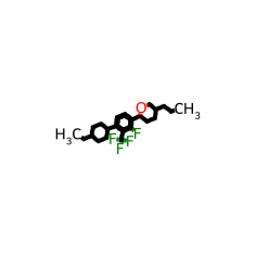 CCCC1CCC(c2ccc(C3CCC(CC)CC3)c(C(F)(F)F)c2F)OC1